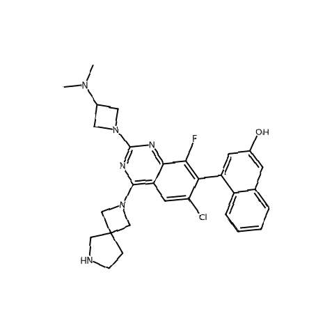 CN(C)C1CN(c2nc(N3CC4(CCNC4)C3)c3cc(Cl)c(-c4cc(O)cc5ccccc45)c(F)c3n2)C1